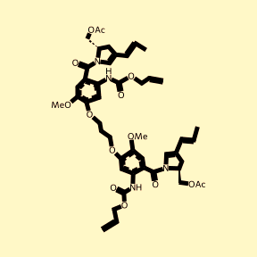 C=CCOC(=O)Nc1cc(OCCCOc2cc(NC(=O)OCC=C)c(C(=O)N3C=C(/C=C/C)C[C@H]3COC(C)=O)cc2OC)c(OC)cc1C(=O)N1C=C(/C=C/C)C[C@H]1COC(C)=O